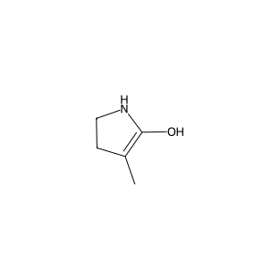 CC1=C(O)NCC1